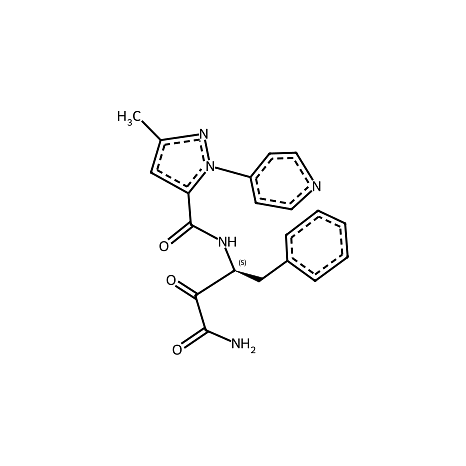 Cc1cc(C(=O)N[C@@H](Cc2ccccc2)C(=O)C(N)=O)n(-c2ccncc2)n1